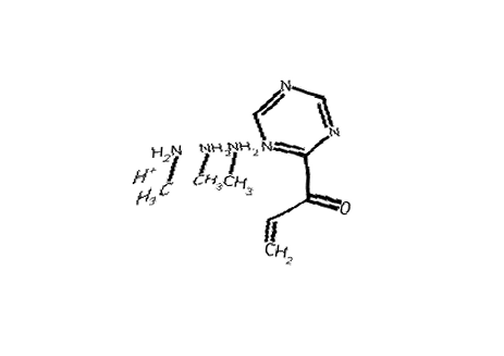 C=CC(=O)c1ncncn1.CN.CN.CN.[H+]